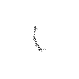 CCC1(COCCCCCCOc2ccc(-c3ccc(C(=O)Oc4ccc(C(=O)OC5CC(C)CCC5C(C)C)cc4)cc3)cc2)COC1